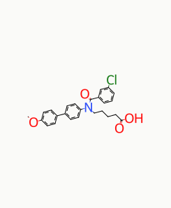 COc1ccc(-c2ccc(N(CCCCC(=O)O)C(=O)c3cccc(Cl)c3)cc2)cc1